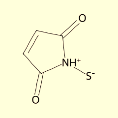 O=C1C=CC(=O)[NH+]1[S-]